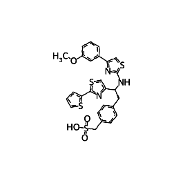 COc1cccc(-c2csc(N[C@@H](Cc3ccc(CS(=O)(=O)O)cc3)c3csc(-c4cccs4)n3)n2)c1